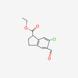 CCOC(=O)C1CCc2cc(C=O)c(Cl)cc21